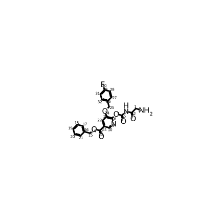 NCC(=O)NC(=O)Oc1ncc(C(=O)OCc2ccccc2)cc1OCc1ccc(F)cc1